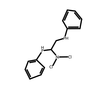 [Cl][Ni]([Cl])[CH](CPc1ccccc1)Pc1ccccc1